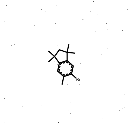 Cc1cc2c(cc1Br)C(C)(C)CC2(C)C